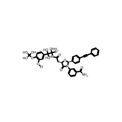 BC(O)(NC(=O)C[C@H]1O[C@@H](c2ccc(C#Cc3ccccc3)cc2)N(c2cccc(C(N)=O)c2)C1=O)C(O)(O)c1ccc(OC(O)(O)O)c(OCC)c1